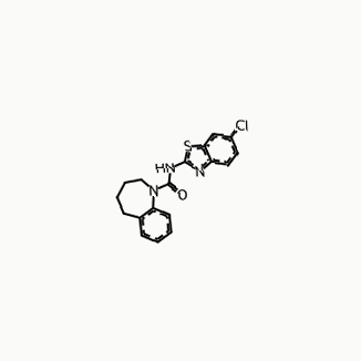 O=C(Nc1nc2ccc(Cl)cc2s1)N1CCCCc2ccccc21